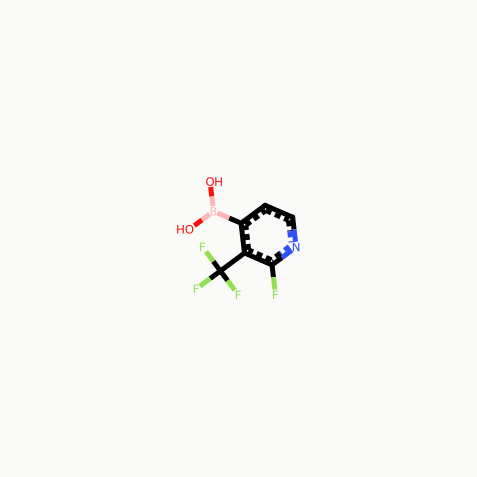 OB(O)c1ccnc(F)c1C(F)(F)F